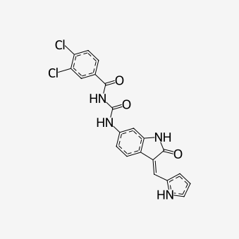 O=C(NC(=O)c1ccc(Cl)c(Cl)c1)Nc1ccc2c(c1)NC(=O)C2=Cc1ccc[nH]1